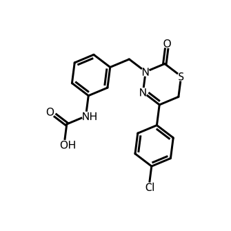 O=C(O)Nc1cccc(CN2N=C(c3ccc(Cl)cc3)CSC2=O)c1